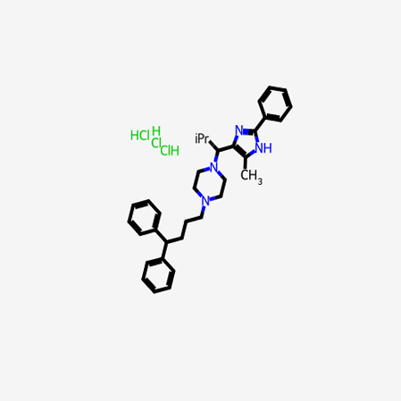 Cc1[nH]c(-c2ccccc2)nc1C(C(C)C)N1CCN(CCCC(c2ccccc2)c2ccccc2)CC1.Cl.Cl.Cl